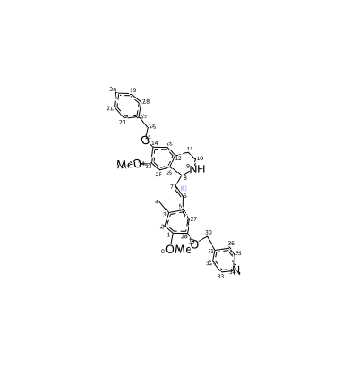 COc1cc(C)c(/C=C/C2NCCc3cc(OCc4ccccc4)c(OC)cc32)cc1OCc1ccncc1